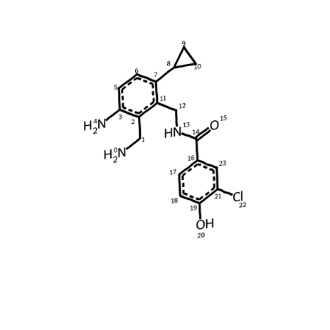 NCc1c(N)ccc(C2CC2)c1CNC(=O)c1ccc(O)c(Cl)c1